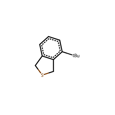 CC(C)(C)c1cccc2c1CSC2